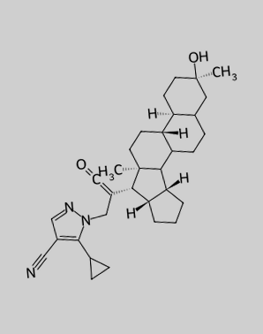 C[C@@]1(O)CC[C@H]2C(CCC3C4[C@@H]5CCC[C@@H]5[C@H](C(=C=O)Cn5ncc(C#N)c5C5CC5)[C@@]4(C)CC[C@@H]32)C1